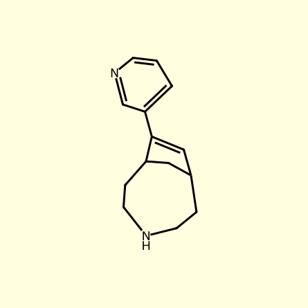 C1=C(c2cccnc2)C2CCNCCC1C2